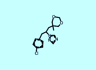 CC1(CC(Cc2ccc(Cl)cc2)n2cncn2)COCOC1